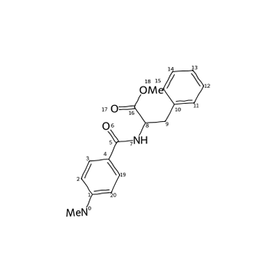 CNc1ccc(C(=O)NC(Cc2ccccc2)C(=O)OC)cc1